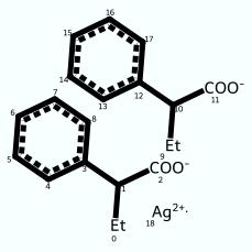 CCC(C(=O)[O-])c1ccccc1.CCC(C(=O)[O-])c1ccccc1.[Ag+2]